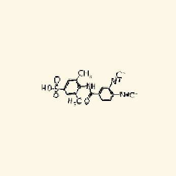 [C-]#[N+]c1ccc(C(=O)Nc2c(C)cc(S(=O)(=O)O)cc2C)cc1[N+]#[C-]